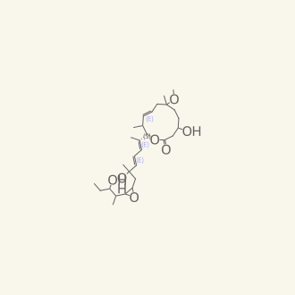 CCC(O)C(C)C1OC1CC(C)(O)/C=C/C=C(\C)[C@H]1OC(=O)CC(O)CCC(C)(OC)C/C=C/C1C